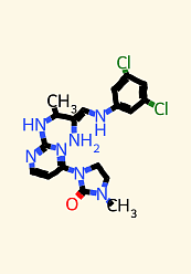 CC(Nc1nccc(N2CCN(C)C2=O)n1)/C(N)=C/Nc1cc(Cl)cc(Cl)c1